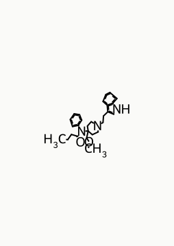 CCCC(=O)N(c1ccccc1)C1(COC)CCN(CCc2c[nH]c3ccccc23)CC1